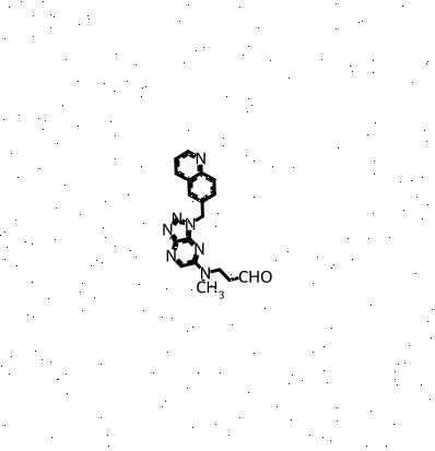 CN(CCC=O)c1cnc2nnn(Cc3ccc4ncccc4c3)c2n1